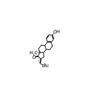 CC(C)(C)/C=C1\CC2C3CCc4cc(O)ccc4C3CC[C@]2(C)C1=O